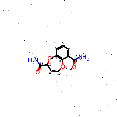 NC(=O)c1c[c]cc2c1OCCC(C(N)=O)O2